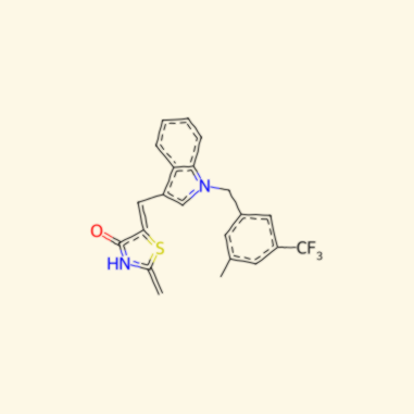 C=c1[nH]c(=O)/c(=C/c2cn(Cc3cc(C)cc(C(F)(F)F)c3)c3ccccc23)s1